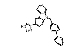 c1ccc(-c2ccc(Cn3c4ccccc4c4cc(-c5nn[nH]n5)ccc43)cc2)cc1